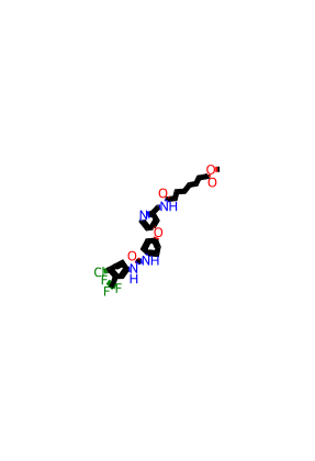 COC(=O)CCCCCCC(=O)NCc1cc(Oc2ccc(NC(=O)Nc3ccc(Cl)c(C(F)(F)F)c3)cc2)ccn1